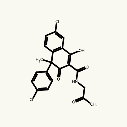 CC(=O)CNC(=O)C1=C(O)c2cc(Cl)ccc2C(C)(c2ccc(Cl)cc2)C1=O